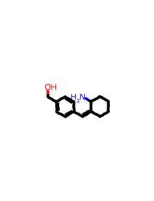 NC1CCCCC1=Cc1ccc(CO)cc1